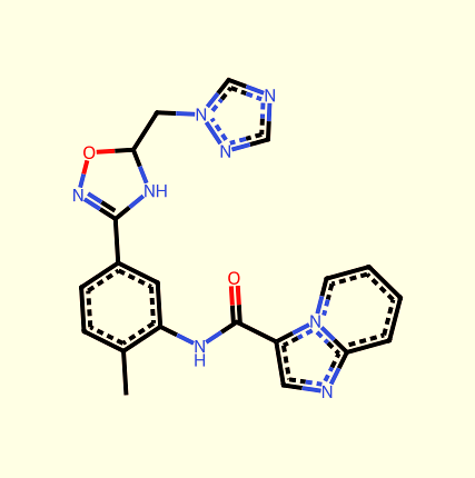 Cc1ccc(C2=NOC(Cn3cncn3)N2)cc1NC(=O)c1cnc2ccccn12